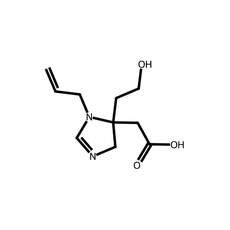 C=CCN1C=NCC1(CCO)CC(=O)O